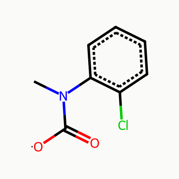 CN(C([O])=O)c1ccccc1Cl